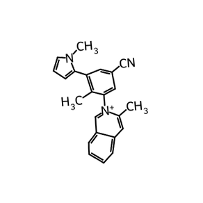 Cc1c(-c2cccn2C)cc(C#N)cc1-[n+]1cc2ccccc2cc1C